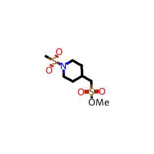 COS(=O)(=O)CC1CCN(S(C)(=O)=O)CC1